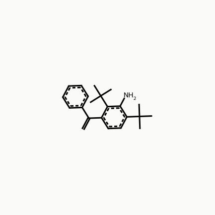 C=C(c1ccccc1)c1ccc(C(C)(C)C)c(N)c1C(C)(C)C